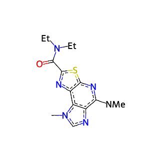 CCN(CC)C(=O)c1nc2c(nc(NC)c3ncn(C)c32)s1